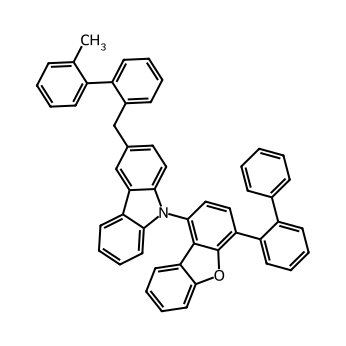 Cc1ccccc1-c1ccccc1Cc1ccc2c(c1)c1ccccc1n2-c1ccc(-c2ccccc2-c2ccccc2)c2oc3ccccc3c12